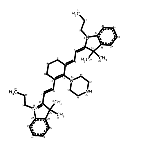 CCCN1/C(=C/C=C2\CCCC(/C=C/C3=[N+](CCC)c4ccccc4C3(C)C)=C2N2CCNCC2)C(C)(C)c2ccccc21